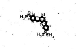 CCC1CC(=Cc2ccc(N(C)C)cc2)C(=O)C(=Cc2ccc(N(C)C)cc2)C1